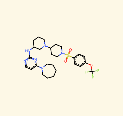 O=S(=O)(c1ccc(OC(F)(F)F)cc1)N1CCC(N2CCCC(Nc3nccc(N4CCCCCC4)n3)C2)CC1